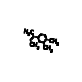 C/C=C(/C)c1ccc(C)c(C)c1